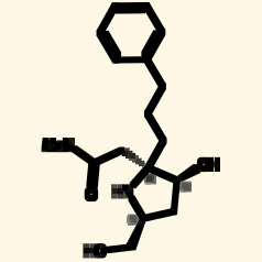 CNC(=O)C[C@@]1(CCCc2ccccc2)N[C@H](CO)C[C@@H]1O